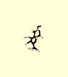 CCN1C[C@H](C)n2cc(C(=O)O)c(=O)c(O)c2C1=O